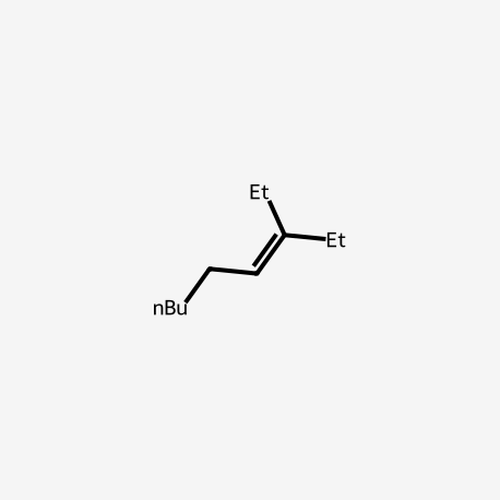 CCCCCC=C(CC)CC